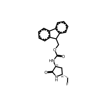 O=C(N[C@H]1C[C@H](CF)NC1=O)OCC1c2ccccc2-c2ccccc21